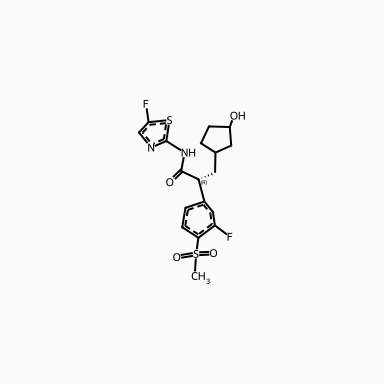 CS(=O)(=O)c1ccc([C@@H](CC2CCC(O)C2)C(=O)Nc2ncc(F)s2)cc1F